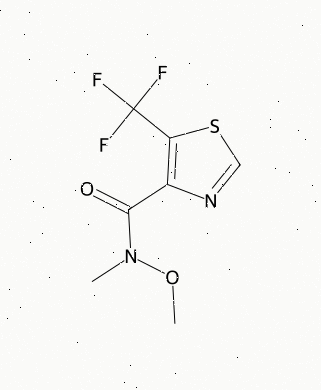 CON(C)C(=O)c1ncsc1C(F)(F)F